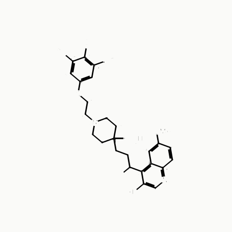 COc1ccc2ncc(F)c(C(O)CCC3(C(=O)O)CCN(CCSc4cc(F)c(F)c(F)c4)CC3)c2c1